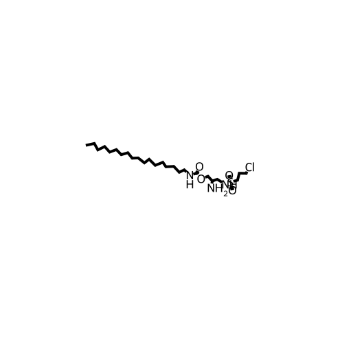 CCCCCCCCCCCCCCCCCCNC(=O)OCC(N)CNS(=O)(=O)CCCCl